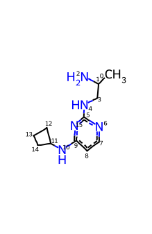 CC(N)CNc1nccc(NC2CCC2)n1